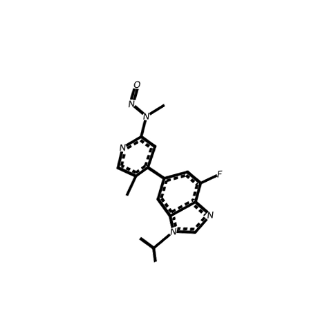 Cc1cnc(N(C)N=O)cc1-c1cc(F)c2ncn(C(C)C)c2c1